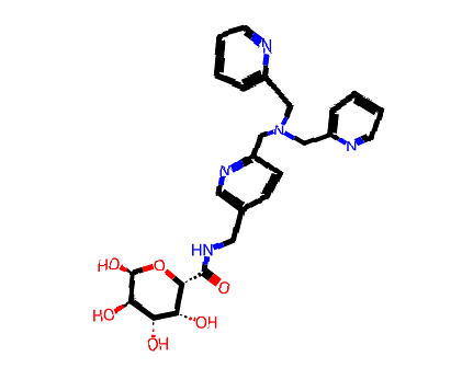 O=C(NCc1ccc(CN(Cc2ccccn2)Cc2ccccn2)nc1)[C@H]1O[C@H](O)[C@H](O)[C@@H](O)[C@H]1O